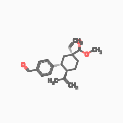 C=C[C@]1(C(=O)OC)CC[C@@H](C(=C)C)[C@H](c2ccc(C=O)cc2)C1